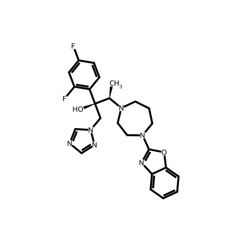 C[C@@H](N1CCCN(c2nc3ccccc3o2)CC1)[C@](O)(Cn1cncn1)c1ccc(F)cc1F